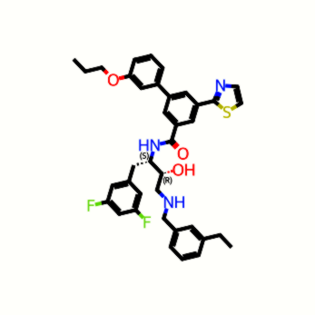 CCCOc1cccc(-c2cc(C(=O)N[C@@H](Cc3cc(F)cc(F)c3)[C@H](O)CNCc3cccc(CC)c3)cc(-c3nccs3)c2)c1